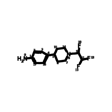 Nc1ccc(C2CCN(C(F)C(F)F)CC2)cc1